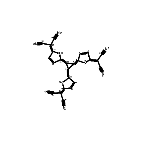 N#CC(C#N)=c1ccc(=C2C(=c3ccc(=C(C#N)C#N)s3)C2=c2ccc(=C(C#N)C#N)s2)s1